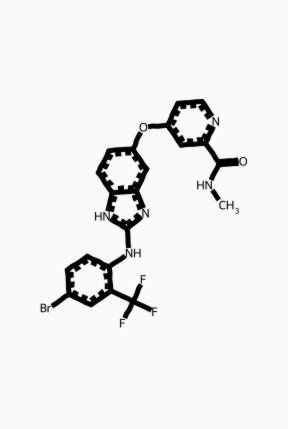 CNC(=O)c1cc(Oc2ccc3[nH]c(Nc4ccc(Br)cc4C(F)(F)F)nc3c2)ccn1